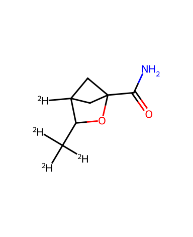 [2H]C([2H])([2H])C1OC2(C(N)=O)CC1([2H])C2